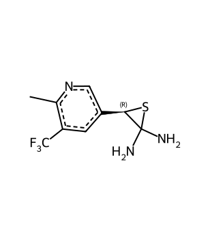 Cc1ncc([C@H]2SC2(N)N)cc1C(F)(F)F